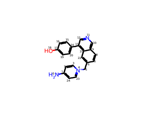 Nc1cc[n+](Cc2ccc3cncc(-c4ccc(O)cc4)c3c2)cc1